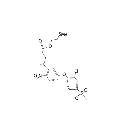 CSCCOC(=O)CCNc1cc(Oc2ccc(S(C)(=O)=O)cc2Cl)ccc1[N+](=O)[O-]